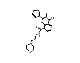 Cc1c(-c2ccccc2)oc2c(C(=O)NCCCN3CCOCC3)cccc2c1=O